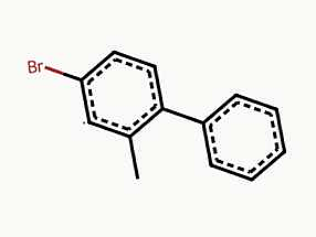 Cc1[c]c(Br)ccc1-c1ccccc1